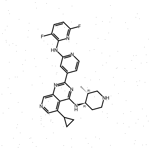 C[C@@H]1CNCC[C@H]1Nc1nc(-c2ccnc(Nc3nc(F)ccc3F)c2)nc2cncc(C3CC3)c12